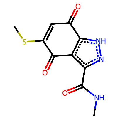 CNC(=O)c1n[nH]c2c1C(=O)C(SC)=CC2=O